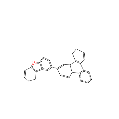 C1=CC2=C(CC1)C1C=C(c3ccc4oc5c(c4c3)CCC=C5)C=CC1c1ccccc12